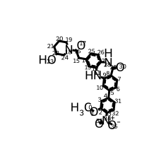 COc1cc(-c2ccc3c(c2)Nc2cc(CC(=O)N4CCCC(O)C4)ccc2NC3=O)ccc1[N+](=O)[O-]